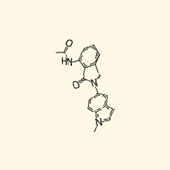 CC(=O)Nc1cccc2c1C(=O)N(c1ccc3c(ccn3C)c1)C2